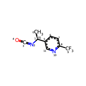 C[C@H](N=C=O)c1ccc(C(F)(F)F)nc1